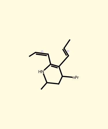 C/C=C\C1=C(/C=C/C)C(CCC)CC(C)N1